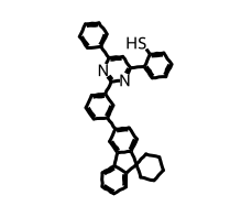 Sc1ccccc1-c1cc(-c2ccccc2)nc(-c2cccc(-c3ccc4c(c3)-c3ccccc3C43CCCCC3)c2)n1